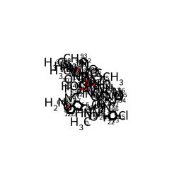 CC(=O)N[C@H](Cc1ccc2ccccc2c1)C(=O)N[C@@H](Cc1ccc(Cl)cc1)C(=O)N[C@H](Cc1cccnc1)C(=O)N[C@@H](CO)C(=O)N[C@H](Cc1ccc(O)cc1)C(=O)N[C@H](CCCCNC(N)=O)C(=O)N[C@@H](CC(C)C)C(=O)N[C@@H](CCCCNC(C)C)C(=O)N1CCC[C@H]1C(=O)N[C@H](C)C(N)=O